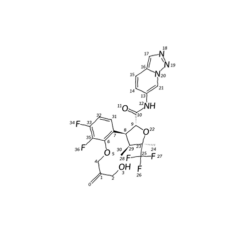 C=C(CO)COc1c([C@H]2[C@H](C(=O)Nc3ccc4cnnn4c3)O[C@@](C)(C(F)(F)F)[C@H]2C)ccc(F)c1F